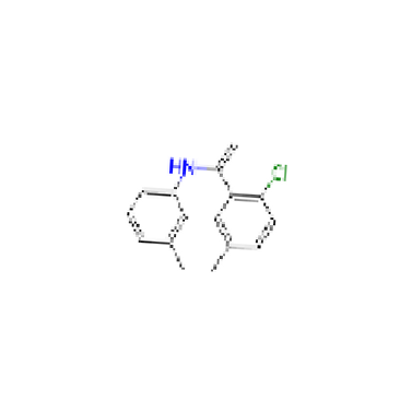 C=C(Nc1cccc(C)c1)c1cc(C)ccc1Cl